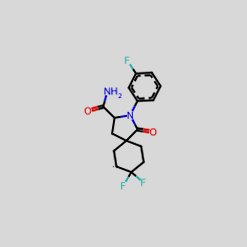 NC(=O)C1CC2(C[CH]C(F)(F)CC2)C(=O)N1c1cccc(F)c1